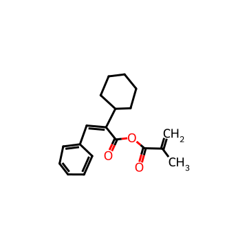 C=C(C)C(=O)OC(=O)C(=Cc1ccccc1)C1CCCCC1